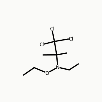 CCON(CC)C(C)(C)C(Cl)(Cl)Cl